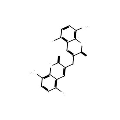 COc1ccc(Br)c2cc(Cc3cc4c(Br)ccc(OC)c4oc3=O)c(=O)oc12